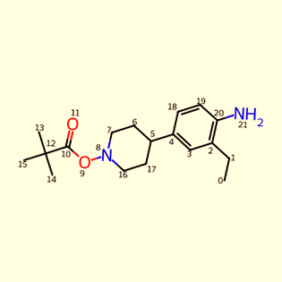 CCc1cc(C2CCN(OC(=O)C(C)(C)C)CC2)ccc1N